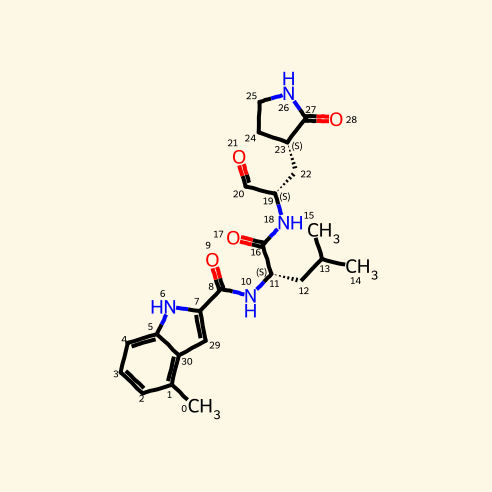 Cc1cccc2[nH]c(C(=O)N[C@@H](CC(C)C)C(=O)N[C@H](C=O)C[C@@H]3CCNC3=O)cc12